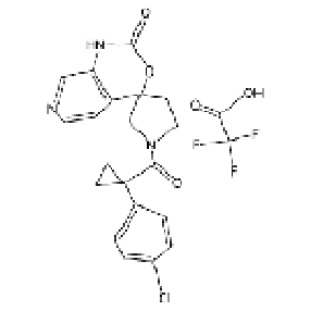 O=C(O)C(F)(F)F.O=C1Nc2cnccc2C2(CCN(C(=O)C3(c4ccc(Cl)cc4)CC3)C2)O1